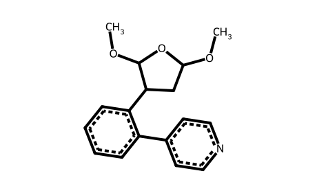 COC1CC(c2ccccc2-c2ccncc2)C(OC)O1